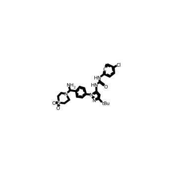 CC(C)(C)c1cc(NC(=O)Nc2ccc(Cl)cc2)n(-c2ccc(C(N)N3CCS(=O)(=O)CC3)cc2)n1